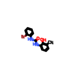 N#Cc1cccc(NC(=O)Nc2ccccc2Br)c1O